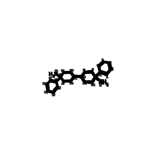 NC1(c2ccccc2)C=CC(=C2C=CC(N)(c3ccccc3)C=C2)C=C1